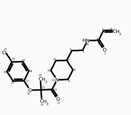 C=CC(=O)NCCC1CCN(C(=O)C(C)(C)Oc2ccc(Cl)cc2)CC1